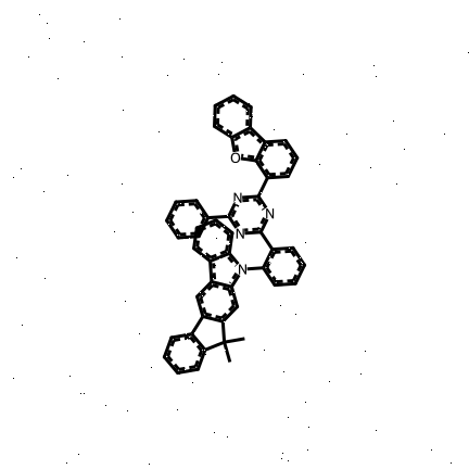 CC1(C)c2ccccc2-c2cc3c4ccccc4n(-c4ccccc4-c4nc(-c5ccccc5)nc(-c5cccc6c5oc5ccccc56)n4)c3cc21